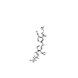 COCCN(C)c1nc(Oc2ccc(B(C)OC(C)(C)C(C)(C)O)c(C=O)c2)ccc1C#N